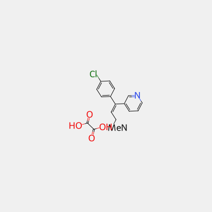 CNCC=C(c1ccc(Cl)cc1)c1cccnc1.O=C(O)C(=O)O